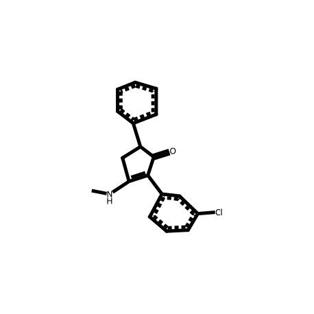 CNC1=C(c2cccc(Cl)c2)C(=O)C(c2ccccc2)C1